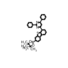 CC1(C)OB(c2ccc3c(c2)sc2c(-c4cc(-c5ccccc5)nc(-c5ccccc5)n4)cccc23)OC1(C)C